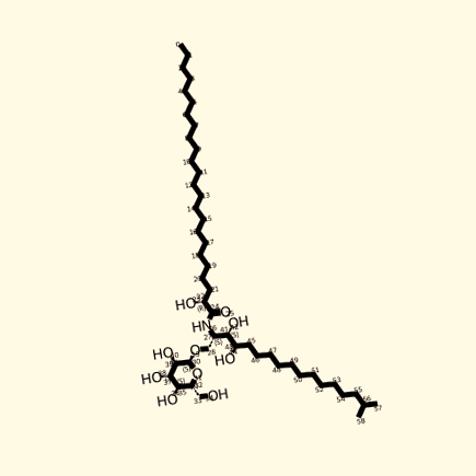 CCCCCCCCCCCCCCCCCCCCCC[C@@H](O)C(=O)N[C@@H](CO[C@H]1O[C@H](CO)[C@@H](O)[C@H](O)[C@H]1O)[C@H](O)[C@H](O)CCCCCCCCCCCC(C)C